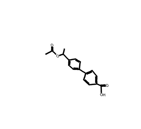 CC(=O)OC(C)c1ccc(-c2ccc(C(=O)O)cc2)cc1